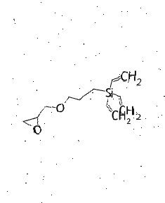 C=C[Si](C=C)(C=C)CCCOCC1CO1